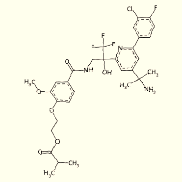 COc1cc(C(=O)NCC(O)(c2cc(C(C)(C)N)cc(-c3ccc(F)c(Cl)c3)n2)C(F)(F)F)ccc1OCCOC(=O)C(C)C